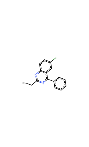 N#CCc1nc(-c2ccccc2)c2cc(Cl)ccc2n1